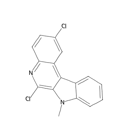 Cn1c2ccccc2c2c3cc(Cl)ccc3nc(Cl)c21